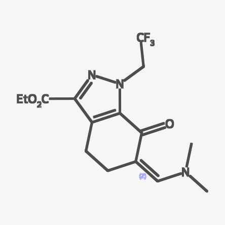 CCOC(=O)c1nn(CC(F)(F)F)c2c1CC/C(=C/N(C)C)C2=O